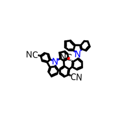 N#Cc1ccc2c(c1)c1ccccc1n2-c1ccccc1-c1cccc(C#N)c1-c1cccc(-n2c3c(c4ccccc42)CCC=C3)c1C#N